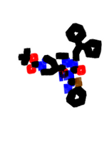 CCN(C(=O)C1CCN(C(=O)OC(C)(C)C)CC1)N(CCC(c1ccccc1)c1ccccc1)C(=O)Nc1nc2ccccc2s1